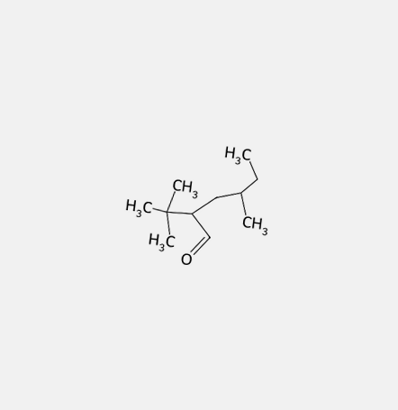 CCC(C)CC(C=O)C(C)(C)C